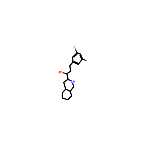 OC(CCc1cc(F)cc(F)c1)C1CC2CCCCC2CN1